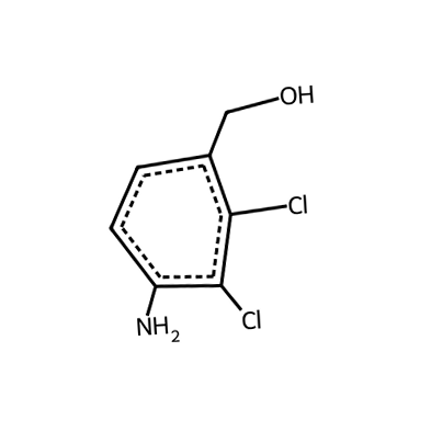 Nc1ccc(CO)c(Cl)c1Cl